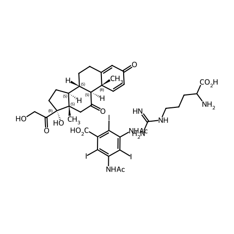 CC(=O)Nc1c(I)c(NC(C)=O)c(I)c(C(=O)O)c1I.C[C@]12C=CC(=O)C=C1CC[C@@H]1[C@@H]2C(=O)C[C@@]2(C)[C@H]1CC[C@]2(O)C(=O)CO.N=C(N)NCCCC(N)C(=O)O